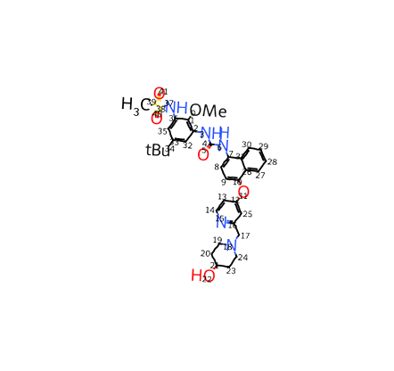 COc1c(NC(=O)Nc2ccc(Oc3ccnc(CN4CCC(O)CC4)c3)c3ccccc23)cc(C(C)(C)C)cc1NS(C)(=O)=O